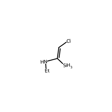 CCNC([SiH3])=CCl